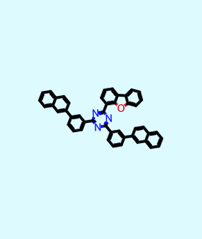 c1cc(-c2ccc3ccccc3c2)cc(-c2nc(-c3cccc(-c4ccc5ccccc5c4)c3)nc(-c3cccc4c3oc3ccccc34)n2)c1